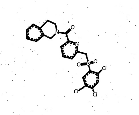 O=C(c1cccc(CS(=O)(=O)c2cc(Cl)c(Cl)cc2Cl)n1)N1CCc2ccccc2C1